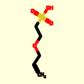 C=CCOCCS(=O)(=O)O